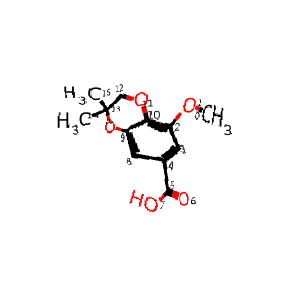 COc1cc(C(=O)O)cc2c1OCC(C)(C)O2